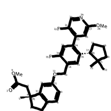 COC(=O)C[C@@]1(C)CCc2ccc(OCc3cc([C@@H]4CCCC4(C)C)c(-c4cc(OC)ncc4F)cc3F)cc21